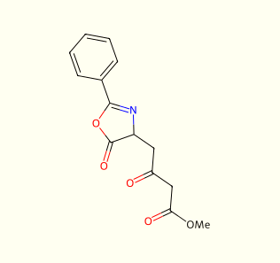 COC(=O)CC(=O)CC1N=C(c2ccccc2)OC1=O